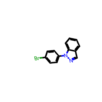 Brc1ccc(-n2ncc3ccccc32)cc1